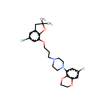 CC1(C)Cc2cc(Cl)cc(OCCCN3CCN(c4cc(Cl)cc5c4OCCO5)CC3)c2O1